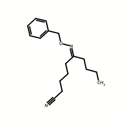 CCCCC(CCCCC#N)=NOCc1ccccc1